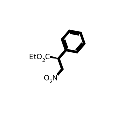 CCOC(=O)[C@H](C[N+](=O)[O-])c1ccccc1